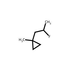 CC(F)CC1(C)CC1